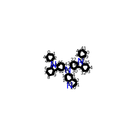 c1ccc(-n2c3ccccc3c3cc(N(c4ccc5ncccc5c4)c4ccc5c(c4)c4ccccc4n5-c4ccccc4)ccc32)cc1